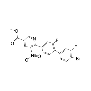 COC(=O)c1cnc(-c2ccc(-c3ccc(Br)c(F)c3)c(F)c2)c([N+](=O)[O-])c1